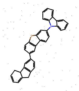 C1=CCC2C(=C1)Cc1ccc(-c3ccc4sc5cc(-n6c7ccccc7c7ccccc76)ccc5c4c3)cc12